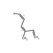 C=C/C(C)=C\C=C/I